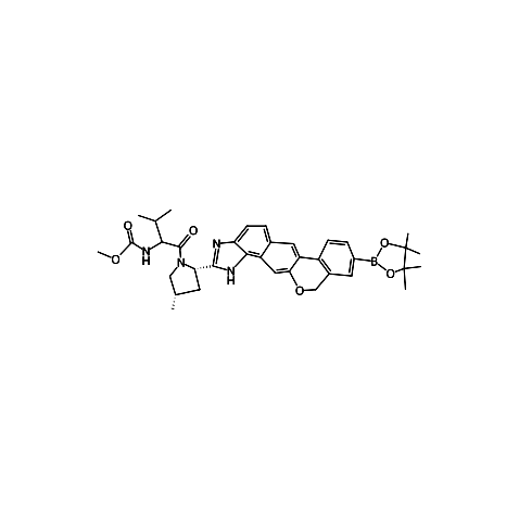 COC(=O)NC(C(=O)N1C[C@@H](C)C[C@H]1c1nc2ccc3cc4c(cc3c2[nH]1)OCc1cc(B2OC(C)(C)C(C)(C)O2)ccc1-4)C(C)C